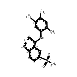 Cc1cc(C)c(Nc2ccnc3ccc(S(C)(=O)=O)cc23)cc1O